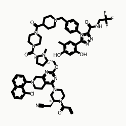 C=CC(=O)N1CCN(c2nc(OC[C@@H]3CC[C@H](C(=O)N4CCN(C(=O)C5CCN(Cc6ccc(-n7c(C(=O)NCC(F)(F)F)nnc7-c7cc(C)c(O)cc7O)cc6)CC5)CC4)N3C)nc3c2CCN(c2cccc4cccc(Cl)c24)C3)C[C@@H]1CC#N